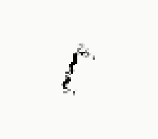 [CH2]CCOCCCCN(C)C